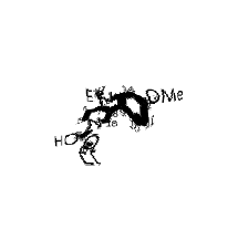 CCOC(O)N1CCc2c(c3ccc(OC)cc3n2CC)C1